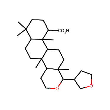 CC1(C)CCC(C(=O)O)C2(C)C1CCC1(C)C3CCOC(C4CCOC4)C3(C)CCC12